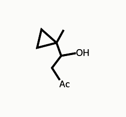 CC(=O)CC(O)C1(C)CC1